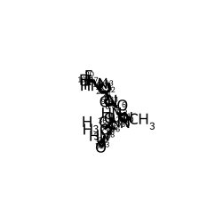 Cn1cc(NC(=O)c2coc(-c3ccnc(NCC(F)(F)F)c3)n2)c(N2CC(CNC3COC3)C(C)(C)C2=O)n1